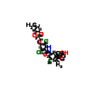 Cc1ccc2c(c1)OC[C@H](COc1cc(Cl)c(C(=O)Nc3cc(F)cc(C(C)(C)C(=O)O)c3)cc1Cl)O2